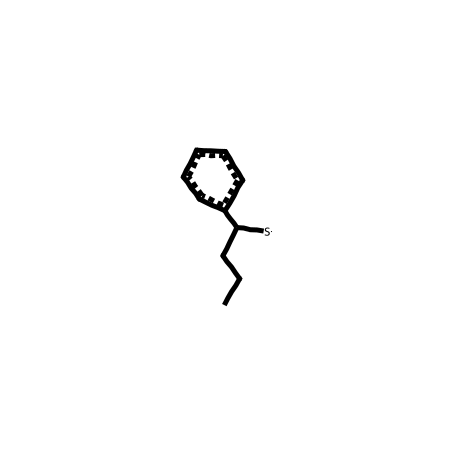 CCCC([S])c1ccccc1